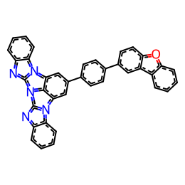 c1ccc2c(c1)nc1n2c2cc(-c3ccc(-c4ccc5oc6ccccc6c5c4)cc3)cc3c2n1c1nc2ccccc2n31